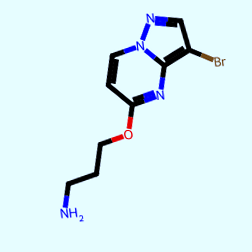 NCCCOc1ccn2ncc(Br)c2n1